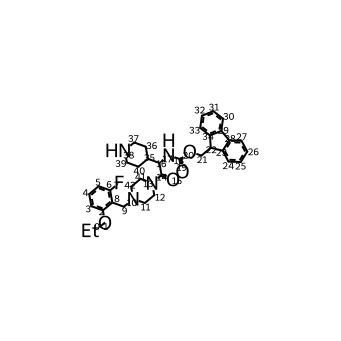 CCOc1cccc(F)c1CN1CCN(C(=O)[C@H](NC(=O)OCC2c3ccccc3-c3ccccc32)C2CCNCC2)CC1